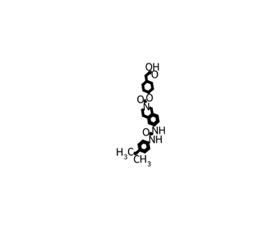 CC(C)c1ccc(NC(=O)Nc2ccc3c(c2)CCN(C(=O)OC2CCC(CC(=O)O)CC2)C3)cc1